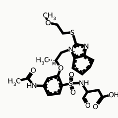 COCCSc1nc2ccccc2n1C[C@@H](C)Oc1cc(NC(C)=O)ccc1S(=O)(=O)NC(C=O)CC(=O)O